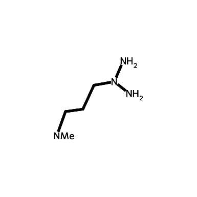 CNCCCN(N)N